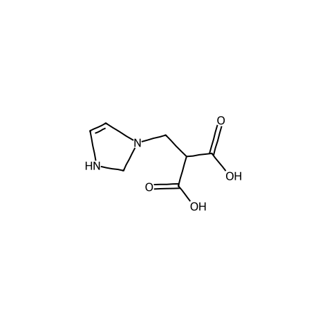 O=C(O)C(CN1C=CNC1)C(=O)O